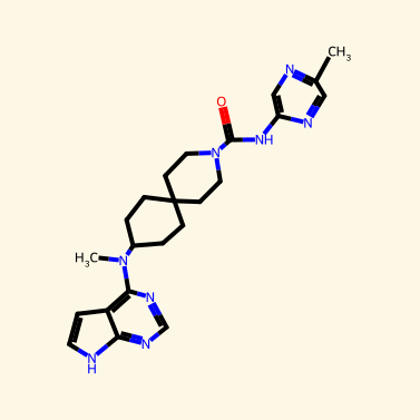 Cc1cnc(NC(=O)N2CCC3(CCC(N(C)c4ncnc5[nH]ccc45)CC3)CC2)cn1